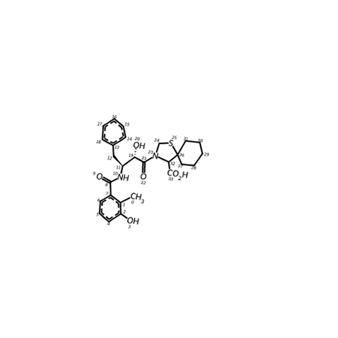 Cc1c(O)cccc1C(=O)N[C@@H](Cc1ccccc1)[C@H](O)C(=O)N1CSC2(CCCCC2)C1C(=O)O